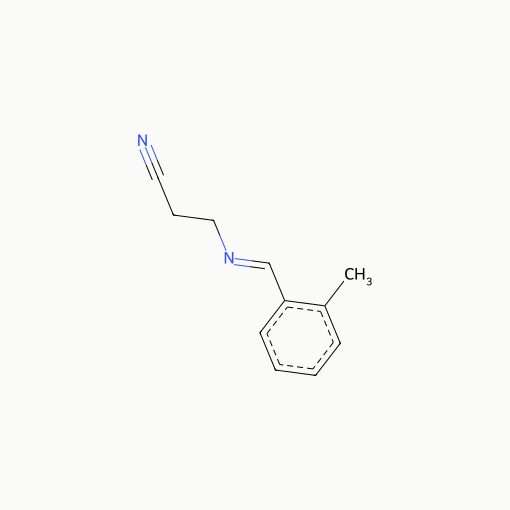 Cc1ccccc1C=NCCC#N